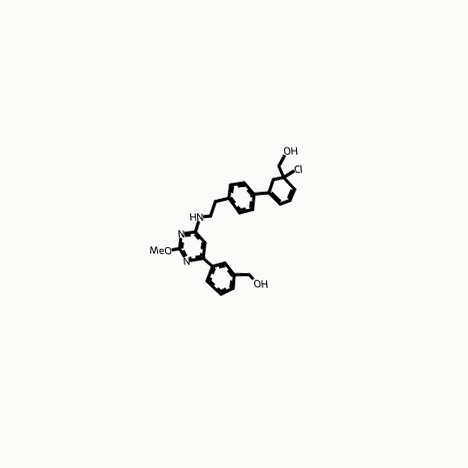 COc1nc(NCCc2ccc(C3=CC=CC(Cl)(CO)C3)cc2)cc(-c2cccc(CO)c2)n1